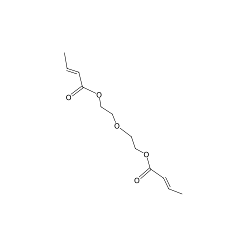 CC=CC(=O)OCCOCCOC(=O)C=CC